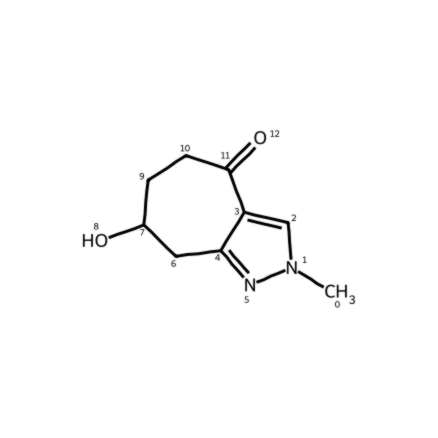 Cn1cc2c(n1)CC(O)CCC2=O